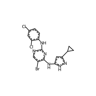 Clc1ccc(Nc2ncc(Br)c(Nc3cc(C4CC4)n[nH]3)n2)c(Cl)c1